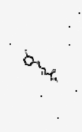 NC(=O)NCCOc1cccc(F)c1